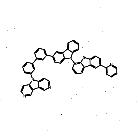 c1ccc(-c2ccc3sc4c(-n5c6ccccc6c6cc(-c7cccc(-c8cccc(-n9c%10ccncc%10c%10cnccc%109)c8)c7)ccc65)cccc4c3c2)nc1